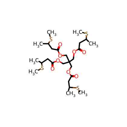 CSC(C)CC(=O)OCC(COC(=O)CC(C)SC)(COC(=O)CC(C)SC)COC(=O)CC(C)SC